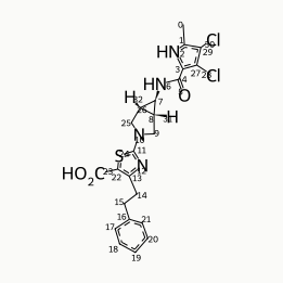 Cc1[nH]c(C(=O)N[C@H]2[C@@H]3CN(c4nc(CCc5ccccc5)c(C(=O)O)s4)C[C@@H]32)c(Cl)c1Cl